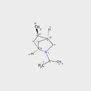 CC(C)N1C[C@H]2C[C@@H]1C[C@H]2C